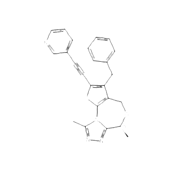 Cc1nnc2n1-c1sc(C#Cc3cccnc3)c(Cc3ccccc3)c1CO[C@H]2C